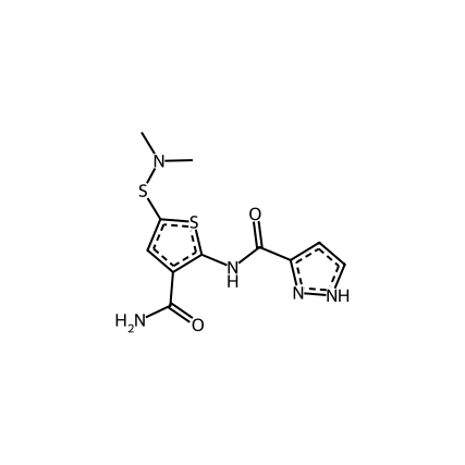 CN(C)Sc1cc(C(N)=O)c(NC(=O)c2cc[nH]n2)s1